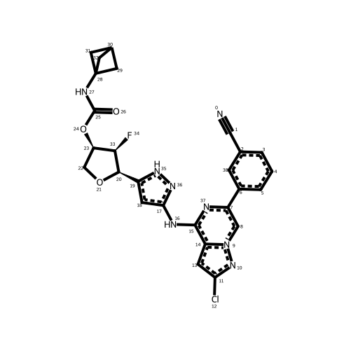 N#Cc1cccc(-c2cn3nc(Cl)cc3c(Nc3cc([C@H]4OC[C@@H](OC(=O)NC56CC(C5)C6)[C@H]4F)[nH]n3)n2)c1